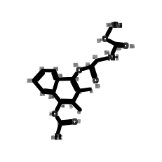 CCC(=O)Oc1c(C)c(C)c(OC(=O)CNC(=O)OC(C)(C)C)c2ccccc12